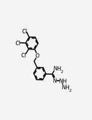 NN/N=C(\N)c1cccc(COc2ccc(Cl)c(Cl)c2Cl)c1